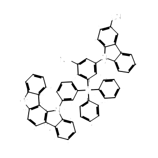 N#Cc1cc(-n2c3ccccc3c3cc(C#N)ccc32)cc(S(c2ccccc2)(c2ccccc2)c2cccc(-n3c4ccccc4c4ccc5oc6ccccc6c5c43)c2)c1